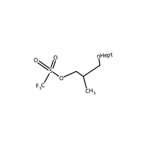 CCCCCCCCC(C)COS(=O)(=O)C(F)(F)F